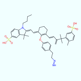 C=C(/C=C/C1=C(Oc2ccc(CCN=N)cc2)C(=C/C=C2/N(CCCC)c3ccc(S(=O)(=O)O)cc3C2(C)C)/CCC1)C(C)(C)c1cc(S(=O)(=O)O)ccc1C